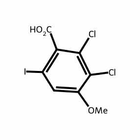 COc1cc(I)c(C(=O)O)c(Cl)c1Cl